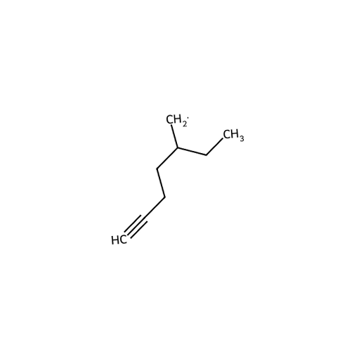 C#CCCC([CH2])CC